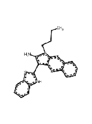 CCCCn1c(N)c(-c2nc3ccccc3[nH]2)c2nc3ccccc3nc21